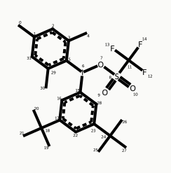 Cc1cc(C)c(I(OS(=O)(=O)C(F)(F)F)c2cc(C(C)(C)C)cc(C(C)(C)C)c2)c(C)c1